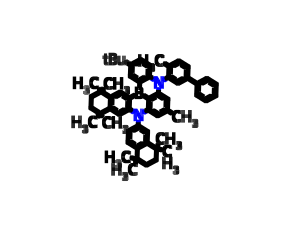 Cc1cc2c3c(c1)N(c1cc(-c4ccccc4)ccc1C)c1ccc(C(C)(C)C)cc1B3c1cc3c(cc1N2c1ccc2c(c1)C(C)(C)CCC2(C)C)C(C)(C)CCC3(C)C